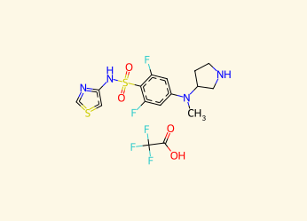 CN(c1cc(F)c(S(=O)(=O)Nc2cscn2)c(F)c1)C1CCNC1.O=C(O)C(F)(F)F